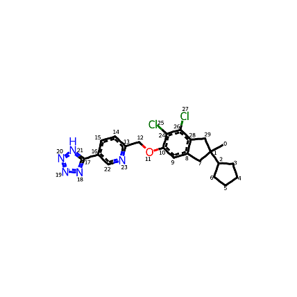 CC1(C2CCCC2)Cc2cc(OCc3ccc(-c4nnn[nH]4)cn3)c(Cl)c(Cl)c2C1